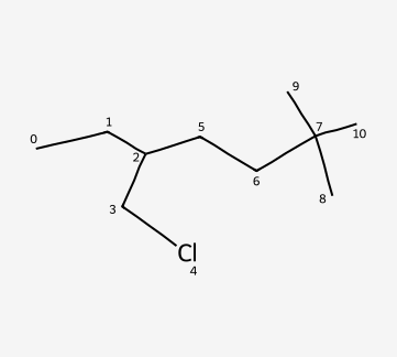 CCC(CCl)CCC(C)(C)C